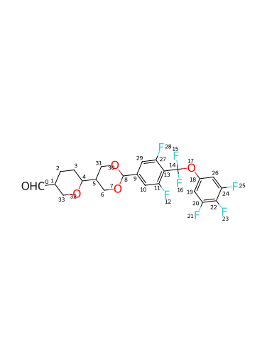 O=CC1CCC(C2COC(c3cc(F)c(C(F)(F)Oc4cc(F)c(F)c(F)c4)c(F)c3)OC2)OC1